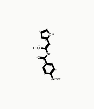 CCCCCc1ccc(C(=O)N/C(=C/c2ccco2)C(=O)O)cc1